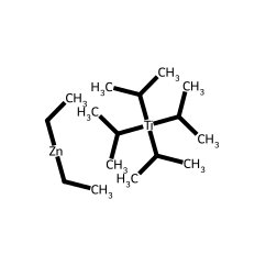 C[CH2][Zn][CH2]C.C[CH](C)[Ti]([CH](C)C)([CH](C)C)[CH](C)C